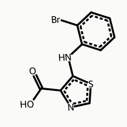 O=C(O)c1ncsc1Nc1ccccc1Br